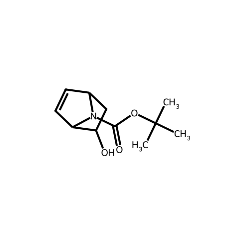 CC(C)(C)OC(=O)N1C2C=CC1C(O)C2